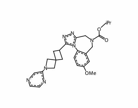 COc1ccc2c(c1)CN(C(=O)OC(C)C)Cc1nnc(C3CC4(C3)CN(c3cnccn3)C4)n1-2